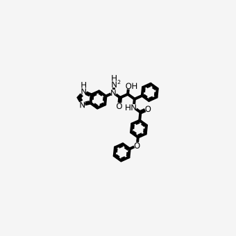 NN(C(=O)C(O)C(NC(=O)c1ccc(Oc2ccccc2)cc1)c1ccccc1)c1ccc2nc[nH]c2c1